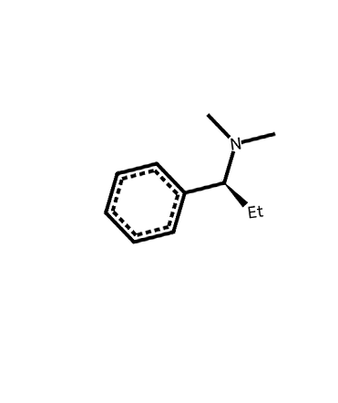 CC[C@@H](c1ccccc1)N(C)C